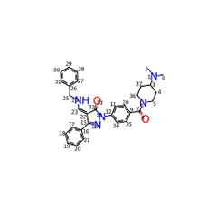 CN(C)C1CCN(C(=O)c2ccc(N3N=C(c4ccccc4)C(=CNCc4ccccc4)C3=O)cc2)CC1